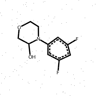 OC1COCCN1c1cc(F)cc(F)c1